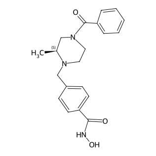 C[C@H]1CN(C(=O)c2ccccc2)CCN1Cc1ccc(C(=O)NO)cc1